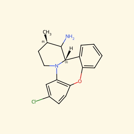 C[C@@H]1CCN2c3cc(Cl)ccc3Oc3ccccc3[C@H]2C1N